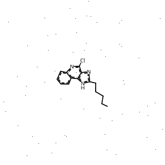 CCCCCc1nc2c(Cl)nc3ccccc3c2[nH]1